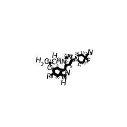 CC(C)Oc1cc2c(C3C=C(N4CCC(F)(C#N)CC4)N=CN3)n[nH]c2cc1F